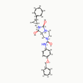 O=C(Nc1ccc(OCc2ccccc2)cc1)N1CCN2C(=O)N([C@@H]3C[C@H]3c3ccccc3)C(=O)C2C1